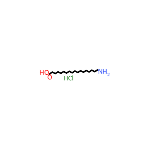 Cl.NCCCCCCCCCCCCCCCCCC(=O)O